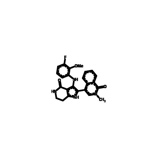 COc1c(F)cccc1Nc1c(-c2cn(C)c(=O)c3ccccc23)[nH]c2c1C(=O)NCC2